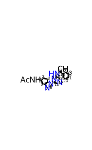 CC(=O)Nc1ccc2c(c1)ncn2-c1cncc(N[C@@H](C)c2ccccc2)n1